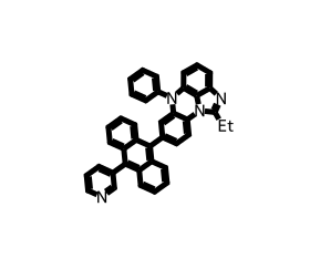 CCc1nc2cccc3c2n1-c1ccc(-c2c4ccccc4c(-c4cccnc4)c4ccccc24)cc1N3c1ccccc1